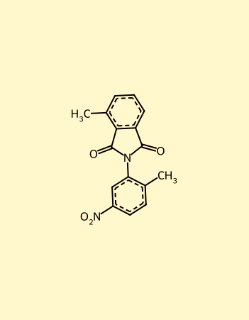 Cc1ccc([N+](=O)[O-])cc1N1C(=O)c2cccc(C)c2C1=O